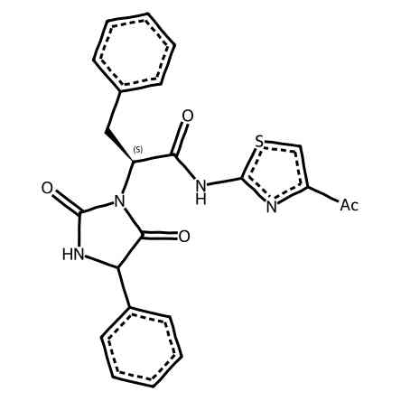 CC(=O)c1csc(NC(=O)[C@H](Cc2ccccc2)N2C(=O)NC(c3ccccc3)C2=O)n1